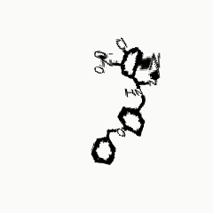 O=[N+]([O-])c1cc2c(NCc3ccc(OCc4ccccc4)cc3)ncnc2cc1Cl